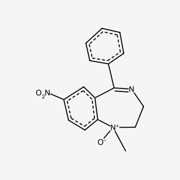 C[N+]1([O-])CCN=C(c2ccccc2)c2cc([N+](=O)[O-])ccc21